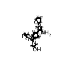 CC(C)(F)Cn1nc(N2CC(O)C2)c2cnc(-c3nn(C4CCCCO4)cc3N)cc21